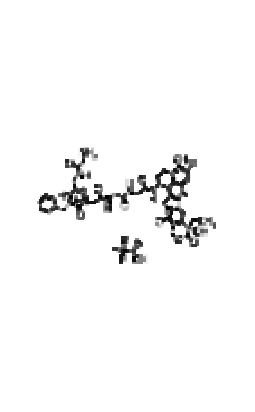 CC[C@@]1(O)C(=O)OCc2c1cc1n(c2=O)Cc2c-1nc1cc(F)c(C)c3c1c2[C@@H](NC(=O)CNC(=O)CNC(=O)CNC(=O)[C@H](Cc1ccccc1)NC(=O)CNC(=O)CN)CC3.O=C(O)C(F)(F)F